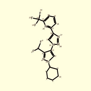 FC(F)c1nn(C2CCCCC2)cc1-n1cc(-c2cccc(C(F)(F)F)n2)nn1